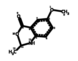 COc1ccc2c(c1)C(=O)OC(C)N2